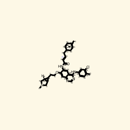 CN1CC2C(CCOc3cc4ncnc(Nc5ccc(F)c(Cl)c5)c4cc3NC(=O)/C=C/CC3CC4CCC3CN4C)[C@H]2C1